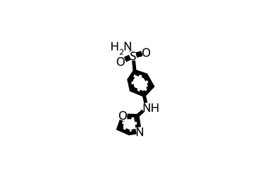 NS(=O)(=O)c1ccc(Nc2ncco2)cc1